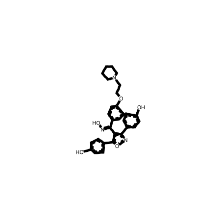 ON=C(c1ccc(OCCN2CCCCC2)cc1)c1c(-c2ccc(O)cc2)noc1-c1ccc(O)cc1